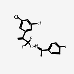 C=C(c1cc(Cl)cc(Cl)c1)C(F)(F)O/N=C(\C)c1ccc(I)cc1